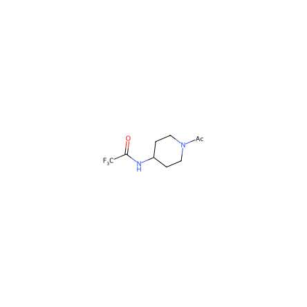 CC(=O)N1CCC(NC(=O)C(F)(F)F)CC1